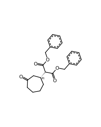 O=C1CCCC[C@@H](C(C(=O)OCc2ccccc2)C(=O)OCc2ccccc2)C1